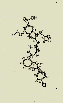 CCOc1cc(C(=O)O)cc2c1nc(CN1CCN(c3cccc4c3OC(C)(c3ccc(Cl)cn3)O4)C=N1)n2C[C@@H]1CCO1